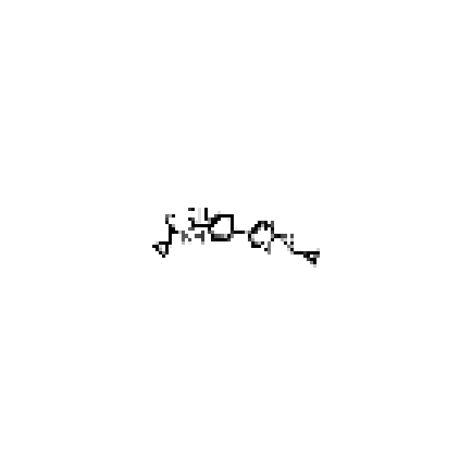 C[C@H](NC(=O)C1CC1)c1ccc(-c2cnc(OCC3CC3)nc2)cc1